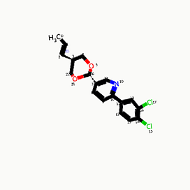 C/C=C/[C@H]1CO[C@H](c2ccc(-c3ccc(Cl)c(Cl)c3)nc2)OC1